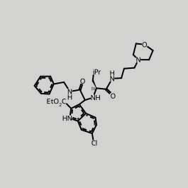 CCOC(=O)c1[nH]c2cc(Cl)ccc2c1C(N[C@@H](CC(C)C)C(=O)NCCCN1CCOCC1)C(=O)NCc1ccccc1